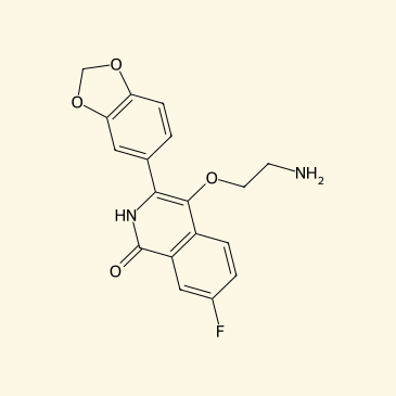 NCCOc1c(-c2ccc3c(c2)OCO3)[nH]c(=O)c2cc(F)ccc12